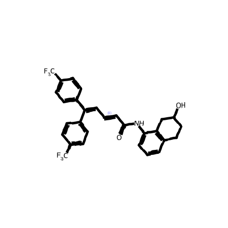 O=C(/C=C/C=C(c1ccc(C(F)(F)F)cc1)c1ccc(C(F)(F)F)cc1)Nc1cccc2c1CC(O)CC2